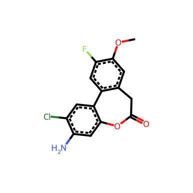 COc1cc2c(cc1F)-c1cc(Cl)c(N)cc1OC(=O)C2